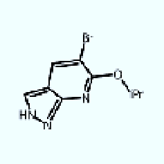 CC(C)Oc1nc2n[nH]cc2cc1Br